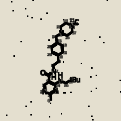 Cc1ncc(C(=O)NCCc2ccc(CN3CCN([11CH3])CC3)cc2)c(NCC(C)(C)C)n1